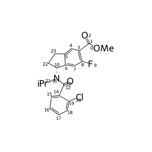 COC(=O)c1cc2c(cc1F)[C@H](N(C(=O)c1ccccc1Cl)C(C)C)CC2